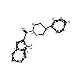 O=C(c1cc2ccccc2[nH]1)N1CCC(c2ccccc2)CC1